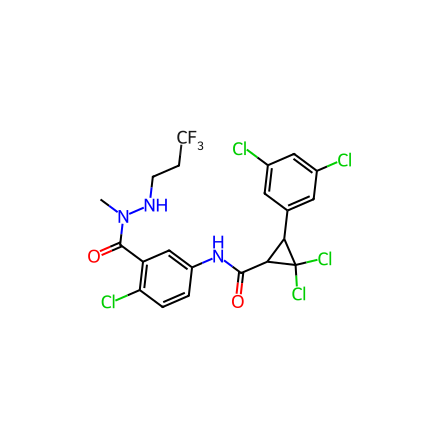 CN(NCCC(F)(F)F)C(=O)c1cc(NC(=O)C2C(c3cc(Cl)cc(Cl)c3)C2(Cl)Cl)ccc1Cl